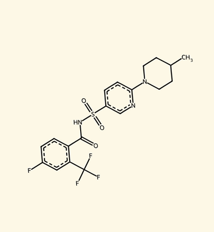 CC1CCN(c2ccc(S(=O)(=O)NC(=O)c3ccc(F)cc3C(F)(F)F)cn2)CC1